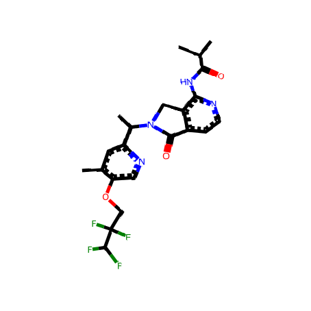 Cc1cc(C(C)N2Cc3c(ccnc3NC(=O)C(C)C)C2=O)ncc1OCC(F)(F)C(F)F